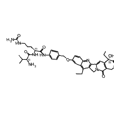 CCc1c2c(nc3ccc(OCc4ccc(NC(=O)[C@H](CCCNC(N)=O)NC(=O)[C@@H](N)C(C)C)cc4)cc13)-c1cc3c(c(=O)n1C2)COC(=O)[C@]3(O)CC